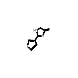 O=C1CNC(c2ccsc2)[N]1